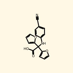 N#Cc1ccc(NC(C(=O)O)(c2ccco2)c2ccco2)cc1